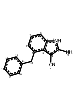 N#Cc1c(N)[nH]c2cccc(Cc3ccccc3)c12